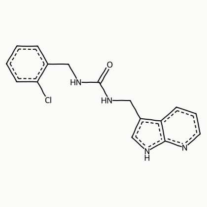 O=C(NCc1ccccc1Cl)NCc1c[nH]c2ncccc12